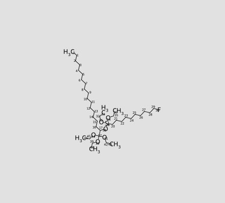 CCCCCCCCCCCCCCCCCC(O[Si](CCCCCCCCCCF)(OCC)OCC)C(OCC)(OCC)OCC